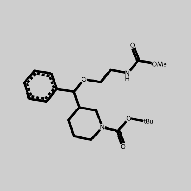 COC(=O)NCCOC(c1ccccc1)C1CCCN(C(=O)OC(C)(C)C)C1